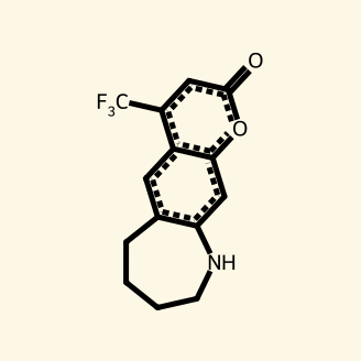 O=c1cc(C(F)(F)F)c2cc3c(cc2o1)NCCCC3